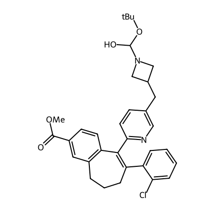 COC(=O)c1ccc2c(c1)CCCC(c1ccccc1Cl)=C2c1ccc(CC2CN(C(O)OC(C)(C)C)C2)cn1